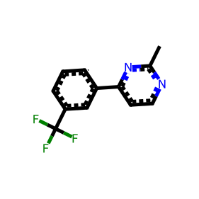 Cc1nccc(-c2[c]ccc(C(F)(F)F)c2)n1